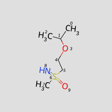 CC(C)OCCS(C)(=N)=O